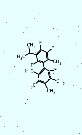 Cc1c(C)c(C)c(-c2c(C)c(F)c(F)c(C(C)C)c2F)c(F)c1C